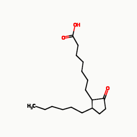 CCCCCCC1CCC(=O)C1CCCCCCC(=O)O